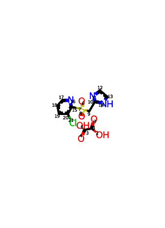 O=C(O)C(=O)O.O=S(=O)(Cc1ncc[nH]1)c1ncccc1Cl